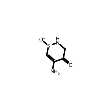 NC1=C[S+]([O-])NCC1=O